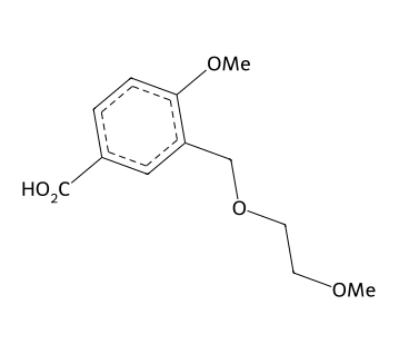 COCCOCc1cc(C(=O)O)ccc1OC